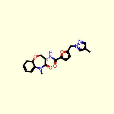 Cc1cnn(Cc2ccc(C(=O)N[C@H]3COC4CC=CC=C4N(C)C3=O)o2)c1